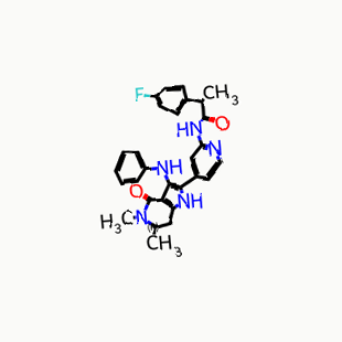 CC(C(=O)Nc1cc(-c2[nH]c3c(c2Nc2ccccc2)C(=O)N(C)[C@H](C)C3)ccn1)c1ccc(F)cc1